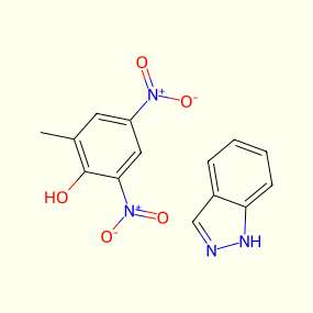 Cc1cc([N+](=O)[O-])cc([N+](=O)[O-])c1O.c1ccc2[nH]ncc2c1